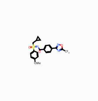 COc1ccc(S(=O)(CC2CC2)=NC(=O)c2ccc(-c3noc(C(F)(F)F)n3)cc2)cc1